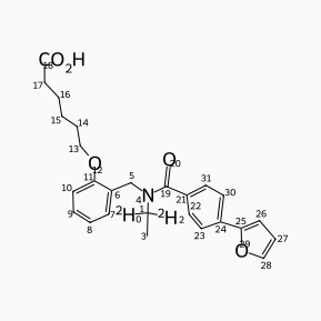 [2H]C([2H])(C)N(Cc1ccccc1OCCCCCC(=O)O)C(=O)c1ccc(-c2ccco2)cc1